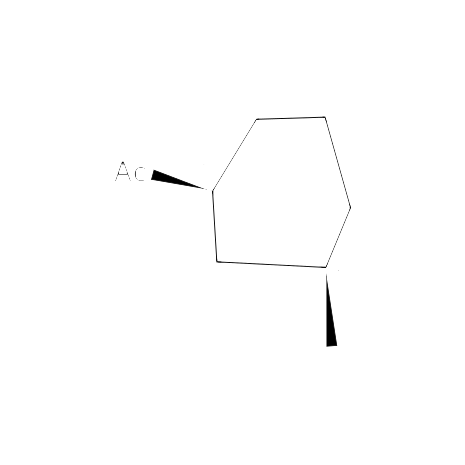 CC(=O)[C@H]1CCC[C@@H](C)C1